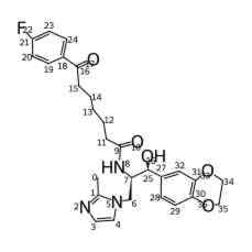 Cc1nccn1C[C@@H](NC(=O)CCCCCC(=O)c1ccc(F)cc1)[C@@H](O)c1ccc2c(c1)OCCO2